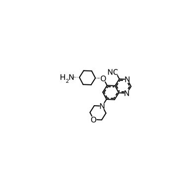 N#Cc1ncnc2cc(N3CCOCC3)cc(O[C@H]3CC[C@@H](N)CC3)c12